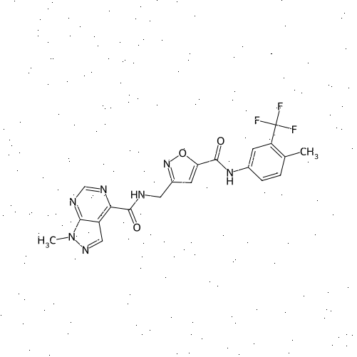 Cc1ccc(NC(=O)c2cc(CNC(=O)c3ncnc4c3cnn4C)no2)cc1C(F)(F)F